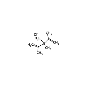 C=C(C)[N+](C)(C)C(=C)C.[Cl-]